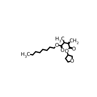 C=C(C(=O)OC1CCOC1)C(C)C(=O)OCCCCCCCC